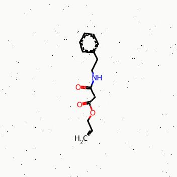 C=CCOC(=O)CC(=O)NCCc1ccccc1